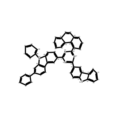 c1ccc(-c2ccc3c4cc(-c5nc(-c6ccc7sc8ccccc8c7c6)nc(-c6cccc7ccc8ccccc8c67)n5)ccc4n(-c4ccccc4)c3c2)cc1